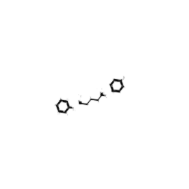 Cc1ccc(OC(=O)CCCC(=O)Oc2ccccc2)cc1